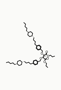 CCCCC[C@H]1CC[C@H](CCCCc2ccc(CO[C@@H](C(=O)OCCC)[C@@H](OCc3ccc(CCCC[C@H]4CC[C@H](CCCCC)CC4)cc3)C(=O)OCCC)cc2)CC1